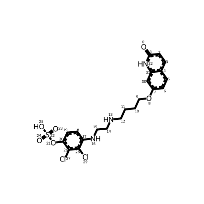 O=c1ccc2ccc(OCCCCNCCNc3ccc(OS(=O)(=O)O)c(Cl)c3Cl)cc2[nH]1